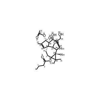 CCCC(=O)O[C@@]12CC[C@]34C=C(C)[C@H](OC(C)=O)[C@@]3(O)[C@H](O)C(CO)=C[C@H](C4O)[C@@H]1C2(C)C